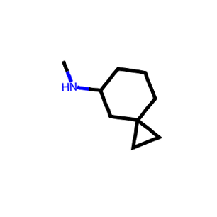 CNC1CCCC2(CC2)C1